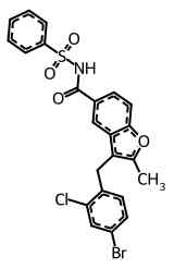 Cc1oc2ccc(C(=O)NS(=O)(=O)c3ccccc3)cc2c1Cc1ccc(Br)cc1Cl